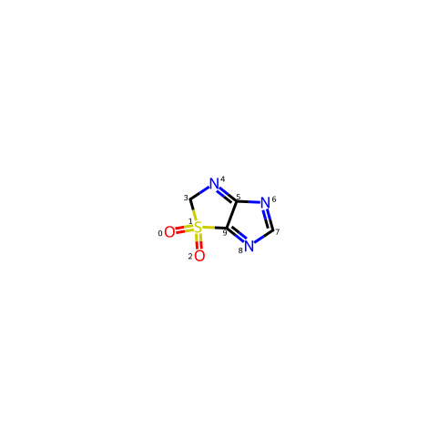 O=S1(=O)CN=C2N=CN=C21